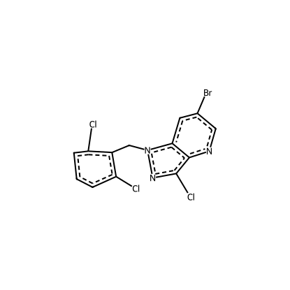 Clc1cccc(Cl)c1Cn1nc(Cl)c2ncc(Br)cc21